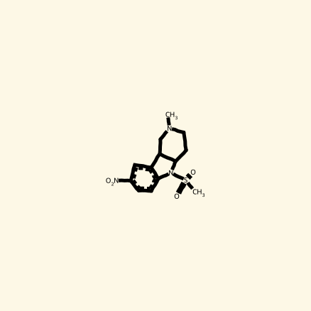 CN1CCC2C(C1)c1cc([N+](=O)[O-])ccc1N2S(C)(=O)=O